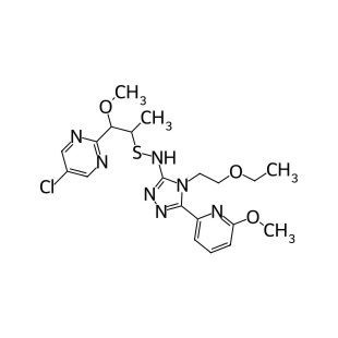 CCOCCn1c(NSC(C)C(OC)c2ncc(Cl)cn2)nnc1-c1cccc(OC)n1